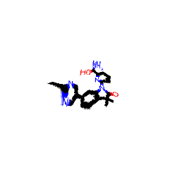 Cc1ncc(-c2ccc3c(c2)N(c2cccc(C(N)O)n2)C(=O)C3(C)C)cn1